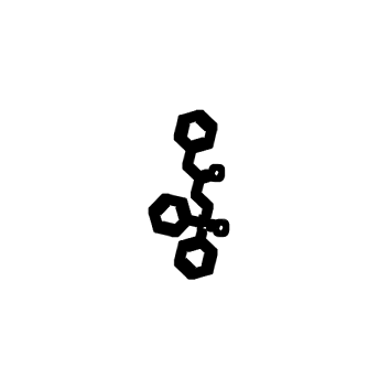 O=C(CCP(=O)(c1ccccc1)c1ccccc1)Cc1ccccc1